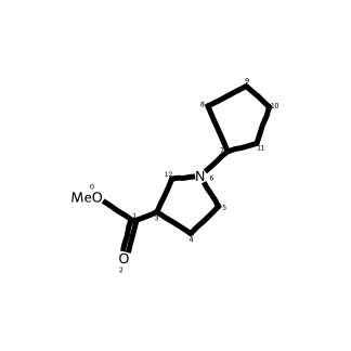 COC(=O)C1CCN(C2CCCC2)C1